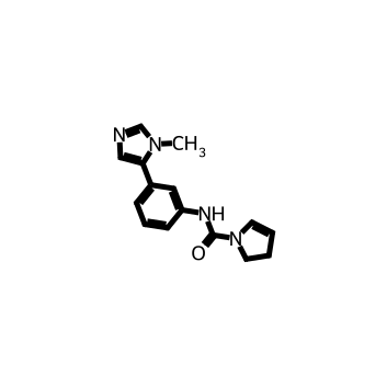 Cn1cncc1-c1cccc(NC(=O)N2C=CCC2)c1